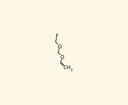 C=COCOCF